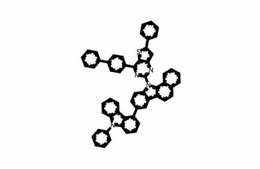 c1ccc(-c2ccc(-c3nc(-n4c5ccc(-c6cccc7c6c6ccccc6n7-c6ccccc6)cc5c5ccc6ccccc6c54)nc4cc(-c5ccccc5)sc34)cc2)cc1